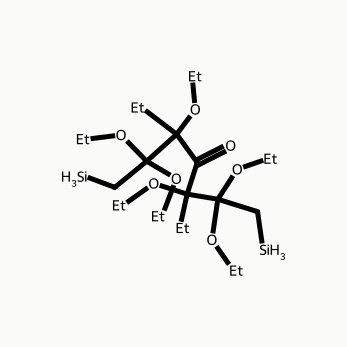 CCOC(C[SiH3])(OCC)C(CC)(OCC)C(=O)C(CC)(OCC)C(C[SiH3])(OCC)OCC